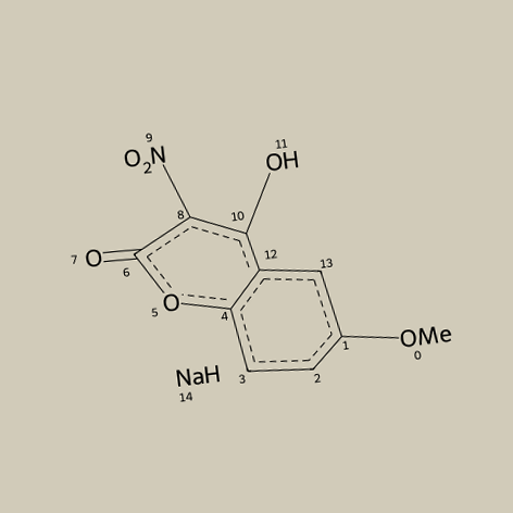 COc1ccc2oc(=O)c([N+](=O)[O-])c(O)c2c1.[NaH]